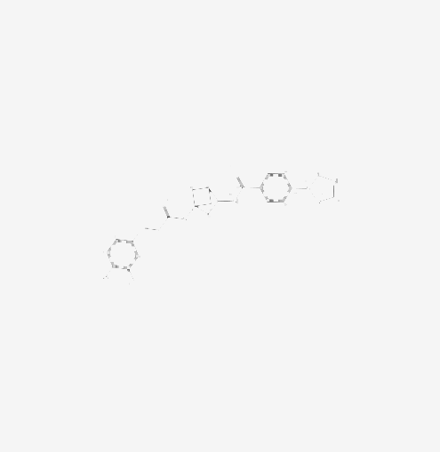 O=C(COc1ccc(Cl)c(F)c1)NC12CC(C1)C(NC(=O)c1ccc(N3CNCN3)cc1)C2